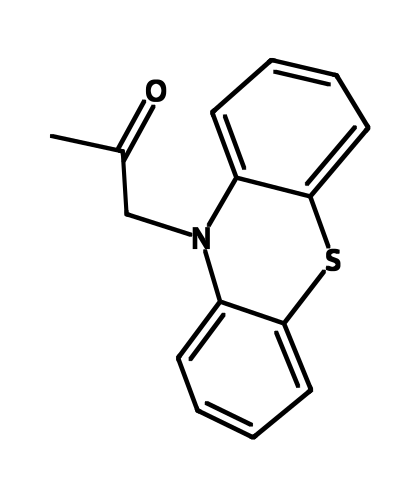 CC(=O)CN1c2ccccc2Sc2ccccc21